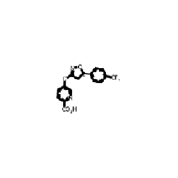 O=C(O)c1ccc(OC2=NO[C@@H](c3ccc(C(F)(F)F)cc3)C2)cn1